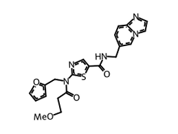 COCCC(=O)N(Cc1ccco1)c1ncc(C(=O)NCc2ccc3nccn3c2)s1